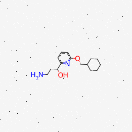 NCCC(O)c1cccc(OCC2CCCCC2)n1